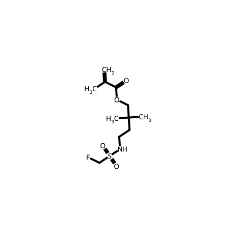 C=C(C)C(=O)OCC(C)(C)CCNS(=O)(=O)CF